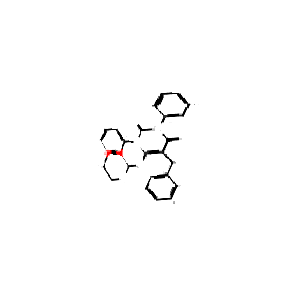 O=c1c(Cc2ccccc2)c(OC2CCCCO2)n(-c2ccccc2)c(=O)n1-c1ccccc1